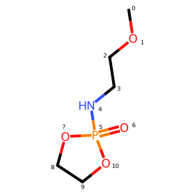 COCCNP1(=O)OCCO1